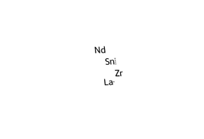 [La].[Nd].[Sn].[Zr]